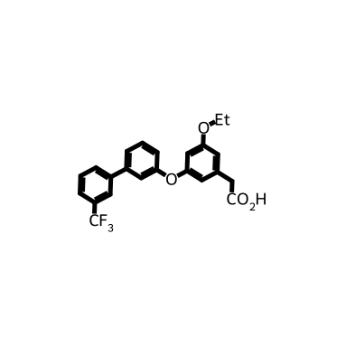 CCOc1cc(CC(=O)O)cc(Oc2cccc(-c3cccc(C(F)(F)F)c3)c2)c1